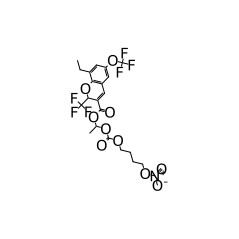 CCc1cc(OC(F)(F)F)cc2c1OC(C(F)(F)F)C(C(=O)OC(C)OC(=O)OCCCCO[N+](=O)[O-])=C2